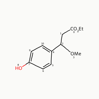 CCOC(=O)CC(OC)c1ccc(O)cc1